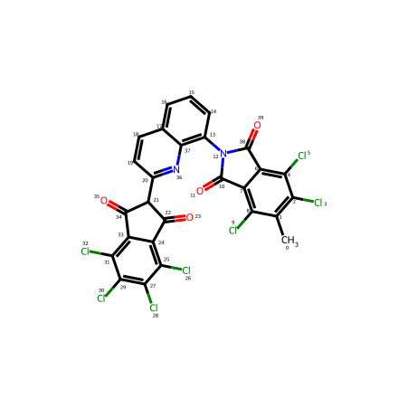 Cc1c(Cl)c(Cl)c2c(c1Cl)C(=O)N(c1cccc3ccc(C4C(=O)c5c(Cl)c(Cl)c(Cl)c(Cl)c5C4=O)nc13)C2=O